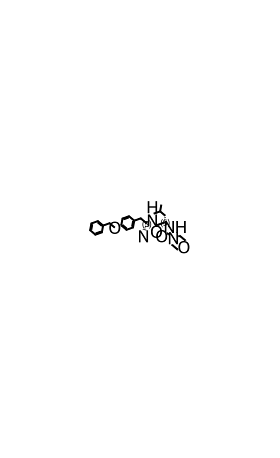 CC(C)C[C@H](NC(=O)N1CCOCC1)C(=O)N[C@H](C#N)Cc1ccc(OCc2ccccc2)cc1